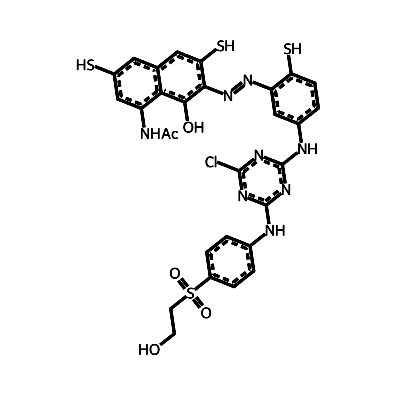 CC(=O)Nc1cc(S)cc2cc(S)c(/N=N/c3cc(Nc4nc(Cl)nc(Nc5ccc(S(=O)(=O)CCO)cc5)n4)ccc3S)c(O)c12